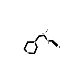 C[C@@H](CN1CCOCC1)NC=O